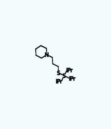 CC(C)S(SCCCN1CCCCC1)(C(C)C)C(C)C